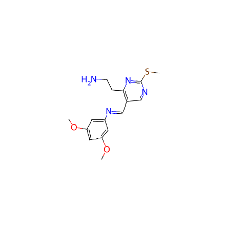 COc1cc(N=Cc2cnc(SC)nc2CCN)cc(OC)c1